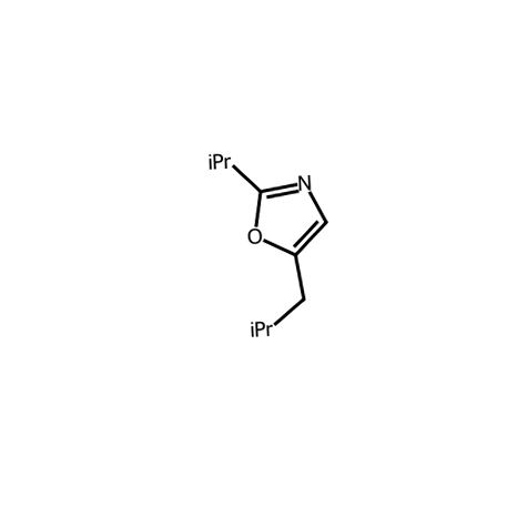 CC(C)Cc1cnc(C(C)C)o1